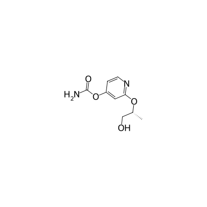 C[C@H](CO)Oc1cc(OC(N)=O)ccn1